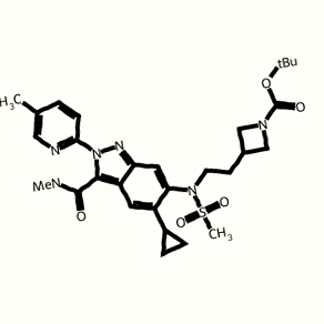 CNC(=O)c1c2cc(C3CC3)c(N(CCC3CN(C(=O)OC(C)(C)C)C3)S(C)(=O)=O)cc2nn1-c1ccc(C)cn1